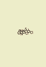 Cc1cc(Cl)ccc1C(=S)c1ccc(N(C)c2cccc3cc[nH]c23)cc1Cl